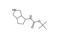 CC(C)(C)OC(=O)NC1CCC2CNCC21